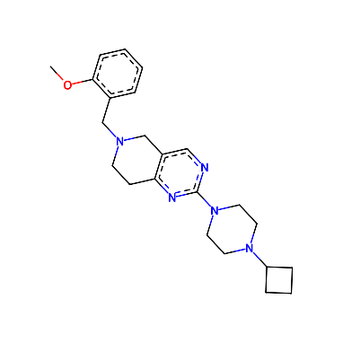 COc1ccccc1CN1CCc2nc(N3CCN(C4CCC4)CC3)ncc2C1